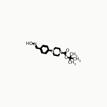 CC(C)(C)OC(=O)N1CCN(c2ccc(C=NO)cc2)CC1